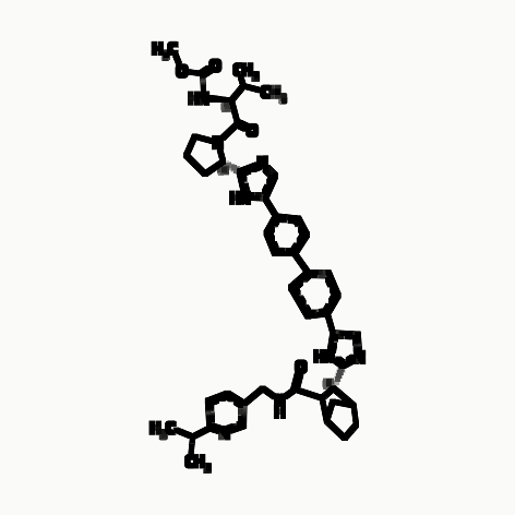 COC(=O)N[C@H](C(=O)N1CCC[C@H]1c1ncc(-c2ccc(-c3ccc(-c4cnc([C@@H]5C6CCC(C6)C5C(=O)NCc5ccc(C(C)C)nc5)[nH]4)cc3)cc2)[nH]1)C(C)C